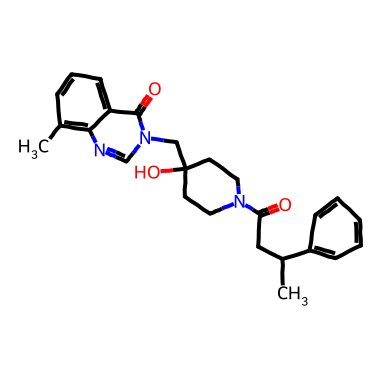 Cc1cccc2c(=O)n(CC3(O)CCN(C(=O)CC(C)c4ccccc4)CC3)cnc12